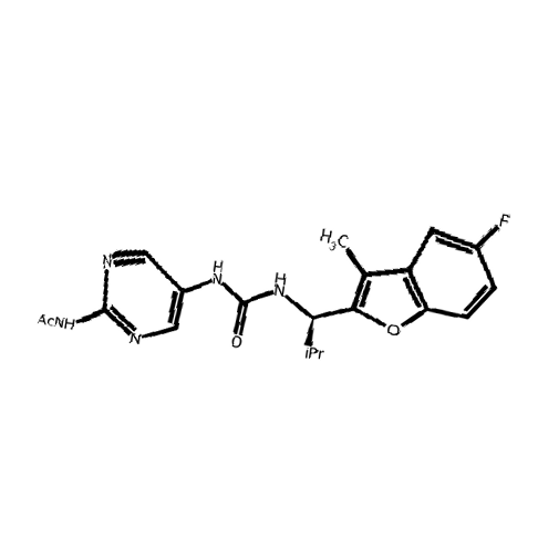 CC(=O)Nc1ncc(NC(=O)N[C@@H](c2oc3ccc(F)cc3c2C)C(C)C)cn1